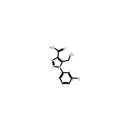 CCc1c(C(C)=O)nnn1-c1cccc(Cl)c1